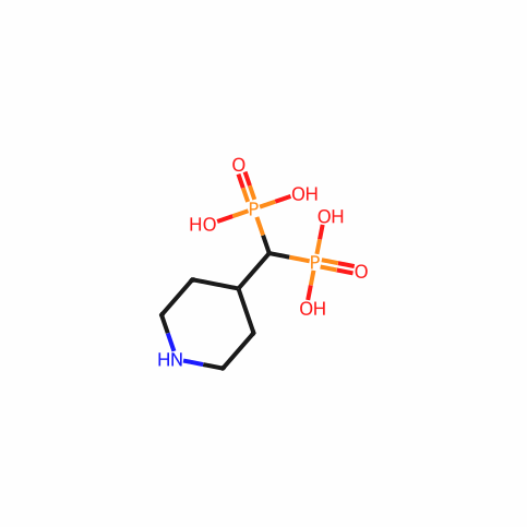 O=P(O)(O)C(C1CCNCC1)P(=O)(O)O